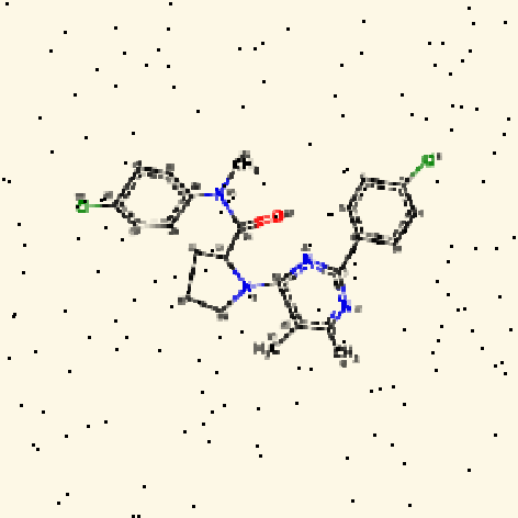 Cc1nc(-c2ccc(Cl)cc2)nc(N2CCCC2C(=O)N(C)c2ccc(Cl)cc2)c1C